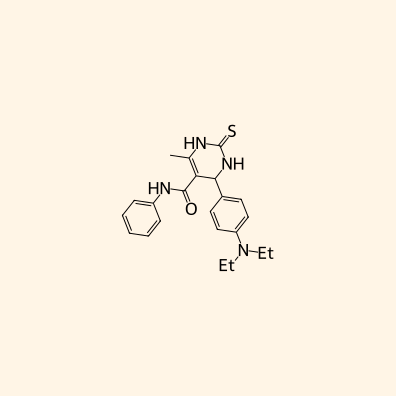 CCN(CC)c1ccc(C2NC(=S)NC(C)=C2C(=O)Nc2ccccc2)cc1